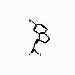 O=C(Cl)C=C1CCc2ccc(Br)cc21